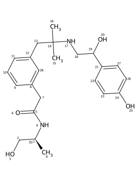 C[C@@H](CO)NC(=O)Cc1cccc(CC(C)(C)NCC(O)c2ccc(O)cc2)c1